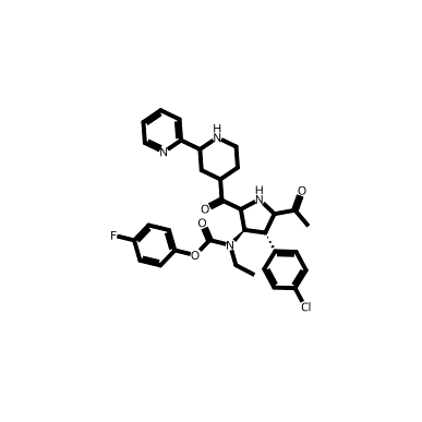 CCN(C(=O)Oc1ccc(F)cc1)[C@H]1C(C(=O)C2CCNC(c3ccccn3)C2)NC(C(C)=O)[C@@H]1c1ccc(Cl)cc1